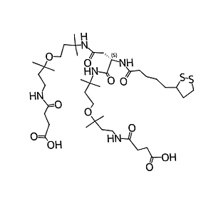 CC(C)(CCOC(C)(C)CCNC(=O)CCC(=O)O)NC(=O)C[C@H](NC(=O)CCCCC1CCSS1)C(=O)NC(C)(C)CCOC(C)(C)CCNC(=O)CCC(=O)O